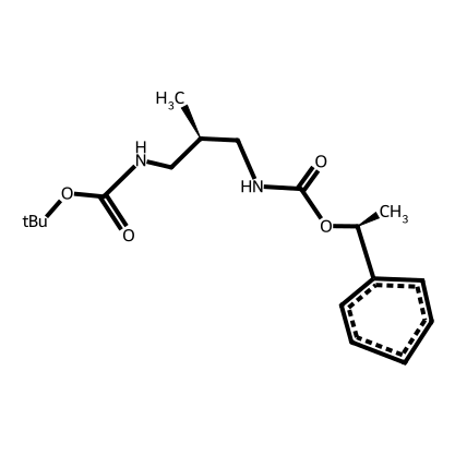 C[C@@H](CNC(=O)O[C@@H](C)c1ccccc1)CNC(=O)OC(C)(C)C